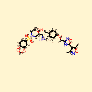 Cc1noc(C)c1-c1nc(COc2ccc(C[C@H](NC(=O)O)[C@H](O)CN(CC(C)C)S(=O)(=O)c3ccc4c(c3)OCO4)cc2)no1